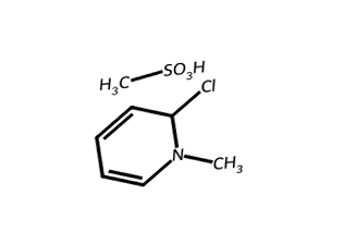 CN1C=CC=CC1Cl.CS(=O)(=O)O